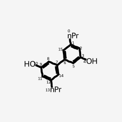 CCCc1cc(O)cc(-c2cc(O)cc(CCC)c2)c1